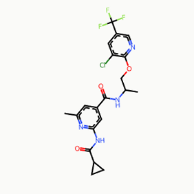 Cc1cc(C(=O)NC(C)COc2ncc(C(F)(F)F)cc2Cl)cc(NC(=O)C2CC2)n1